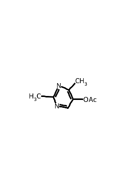 CC(=O)Oc1cnc(C)nc1C